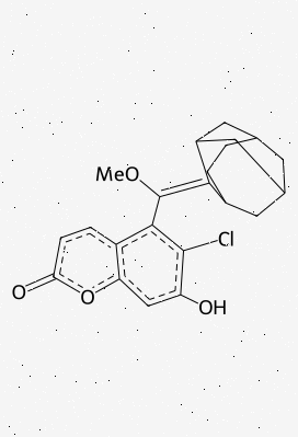 CO/C(=C1/C2CCC3CC(C2)CC1C3)c1c(Cl)c(O)cc2oc(=O)ccc12